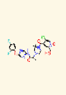 C[C@@H](C(=O)Nc1cnc(Oc2ccc(F)cc2F)cn1)N1CCN(C(=O)c2cc(CO)[n+]([O-])cc2Cl)C(C)(C)C1